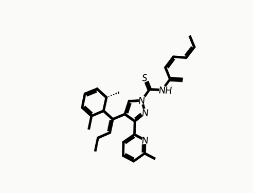 C=C(/C=C\C=C/C)NC(=S)n1cc(C(=CCC)C2C(C)=CC=C[C@@H]2C)c(-c2cccc(C)n2)n1